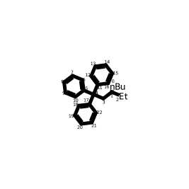 CCCCC(CC)CC(c1ccccc1)(c1ccccc1)c1ccccc1